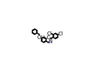 C[C@@H](/N=C\c1ccc(OCc2ccccc2)cc1)c1ccc(Cl)cc1Cl